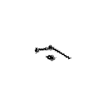 CCCCCCCCCCCCCCCCC[C@H]1OC[C@H](COCCCCCC[n+]2cscc2C)O1.Cc1ccc(S(=O)(=O)[O-])cc1